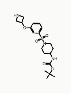 CC(C)(C)OC(=O)NC1CCN(S(=O)(=O)c2cccc(OC3CNC3)c2)CC1